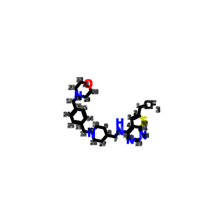 FC(F)(F)Cc1cc2c(NCC3CCN(Cc4ccc(CN5CCOCC5)cc4)CC3)ncnc2s1